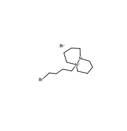 BrCCCC[N+]12CCCCN1CCCC2.[Br-]